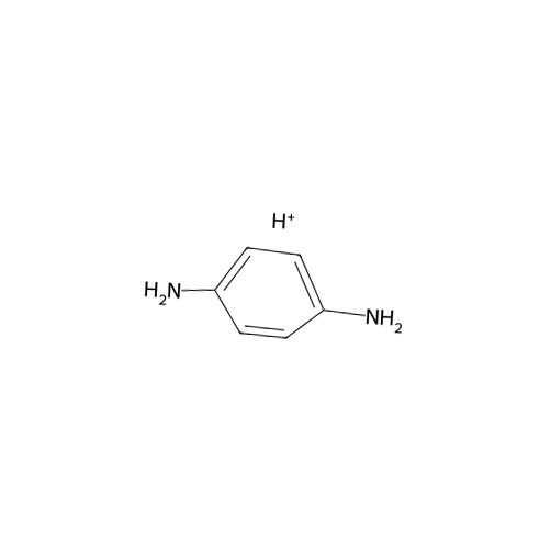 Nc1ccc(N)cc1.[H+]